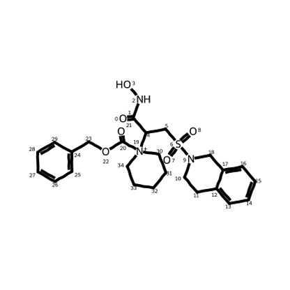 O=C(NO)C(CS(=O)(=O)N1CCc2ccccc2C1)[N+]1(C(=O)OCc2ccccc2)CCCCC1